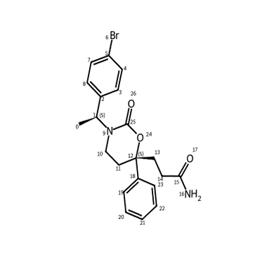 C[C@@H](c1ccc(Br)cc1)N1CC[C@@](CCC(N)=O)(c2ccccc2)OC1=O